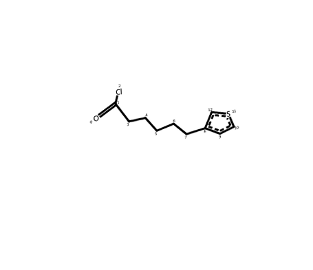 O=C(Cl)CCCCCc1ccsc1